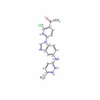 CC(=O)c1ccc(-n2cnc3cc(Nc4ccc(C)nn4)ccc32)nc1Cl